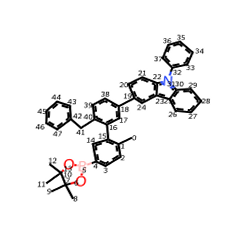 Cc1ccc(B2OC(C)(C)C(C)(C)O2)cc1-c1cc(-c2ccc3c(c2)c2ccccc2n3-c2ccccc2)ccc1Cc1ccccc1